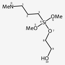 CNCCC[Si](OC)(OC)OCCO